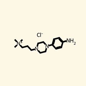 C[N+](C)(C)CCCN1CCN(c2ccc(N)cc2)CC1.[Cl-]